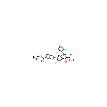 COC(=O)c1ccc2c(c1)CN(c1c(F)cc3c(=O)c(C(=O)O)cn(-c4ccc(F)cc4F)c3c1F)C2